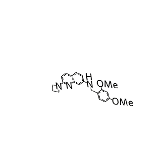 COc1ccc(CNc2ccc3ccc(N4CCC4)nc3c2)c(OC)c1